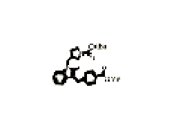 COC(=O)c1ccc(Cc2c(C)n(CC3CCN(C(=O)OC(C)(C)C)C3)c3ccccc23)cc1